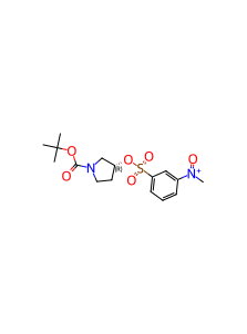 C[N+](=O)c1cccc(S(=O)(=O)O[C@@H]2CCN(C(=O)OC(C)(C)C)C2)c1